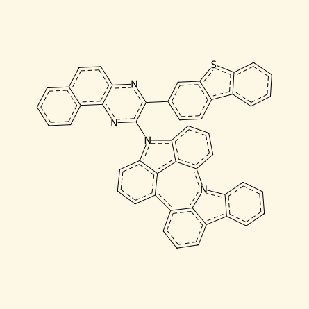 c1ccc2c(c1)ccc1nc(-c3ccc4c(c3)sc3ccccc34)c(-n3c4cccc5c6cccc7c8ccccc8n(c8cccc3c8c54)c67)nc12